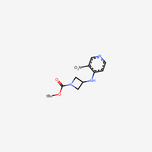 CC(C)(C)OC(=O)N1CC(Nc2ccncc2[N+](=O)[O-])C1